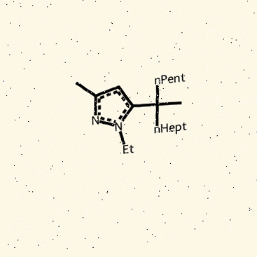 CCCCCCCC(C)(CCCCC)c1cc(C)nn1CC